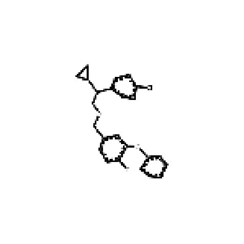 Fc1ccc(CSCC(c2ccc(Cl)cc2)C2CC2)cc1Oc1ccccc1